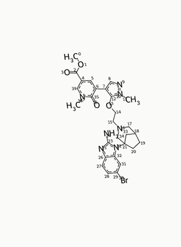 COC(=O)c1cc(-c2cnn(C)c2OCCN2CC3CCC(n4c(N)nc5ccc(Br)cc54)(C3)C2)c(=O)n(C)c1